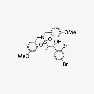 COc1ccc(CN(Cc2ccc(OC)cc2)S(=O)(=O)C(C)C(O)c2ccc(Br)cc2Br)cc1